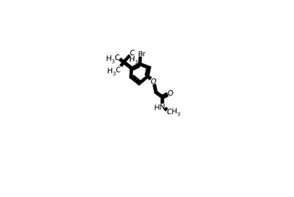 CNC(=O)COc1ccc(C(C)(C)C)c(Br)c1